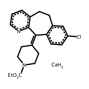 CCOC(=O)N1CCC(=C2c3ccc(Cl)cc3CCc3cccnc32)CC1.[CaH2]